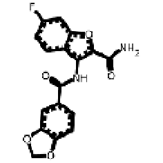 NC(=O)c1oc2cc(F)ccc2c1NC(=O)c1ccc2c(c1)OCO2